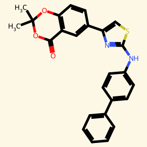 CC1(C)OC(=O)c2cc(-c3csc(Nc4ccc(-c5ccccc5)cc4)n3)ccc2O1